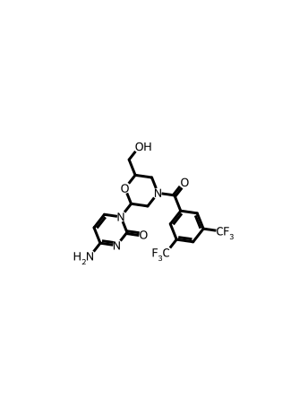 Nc1ccn(C2CN(C(=O)c3cc(C(F)(F)F)cc(C(F)(F)F)c3)CC(CO)O2)c(=O)n1